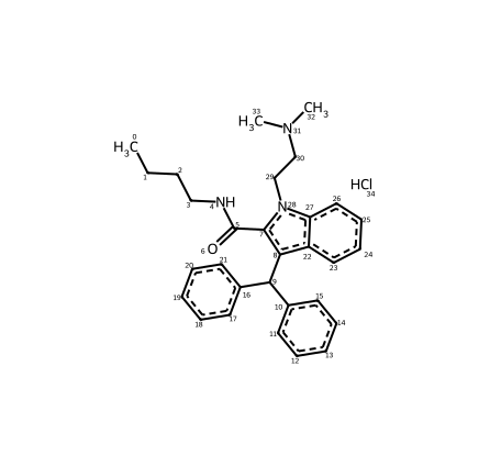 CCCCNC(=O)c1c(C(c2ccccc2)c2ccccc2)c2ccccc2n1CCN(C)C.Cl